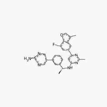 Cc1nc(N[C@@H](C)c2cccc(-c3cnc(N)nc3)c2)cc(-c2cc(F)c3occ(C)c3c2)n1